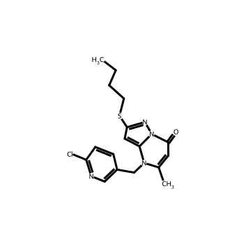 CCCCSc1cc2n(Cc3ccc(Cl)nc3)c(C)cc(=O)n2n1